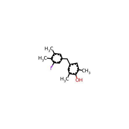 Cc1cc(Cc2cc(C)c(O)c(C)c2)cc(I)c1C